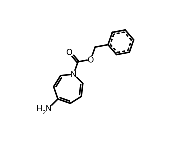 NC1=CC=CN(C(=O)OCc2ccccc2)C=C1